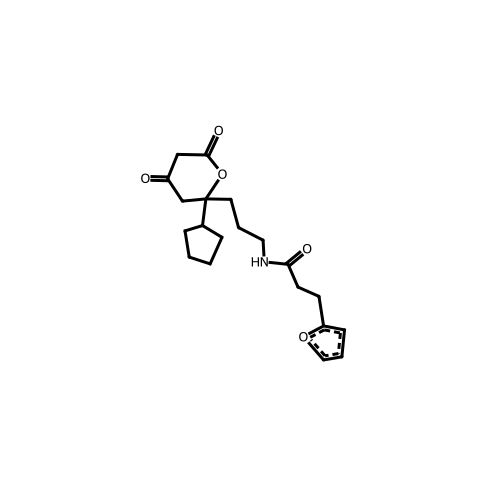 O=C1CC(=O)OC(CCCNC(=O)CCc2ccco2)(C2CCCC2)C1